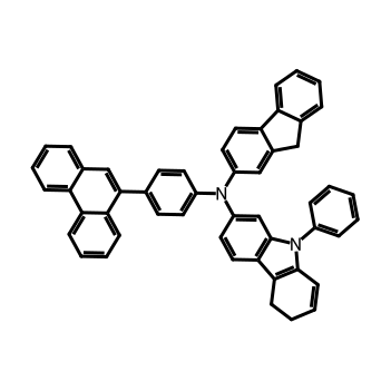 C1=Cc2c(c3ccc(N(c4ccc(-c5cc6ccccc6c6ccccc56)cc4)c4ccc5c(c4)Cc4ccccc4-5)cc3n2-c2ccccc2)CC1